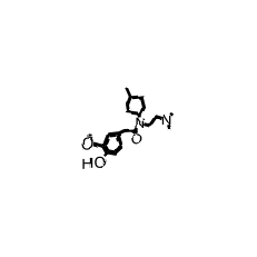 COc1cc(CC(=O)N(CCN(C)C)C2CCC(C)CC2)ccc1O